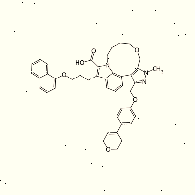 Cn1nc(COc2ccc(C3=CCOCC3)cc2)c2c1COCCCCn1c(C(=O)O)c(CCCOc3cccc4ccccc34)c3cccc-2c31